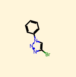 Brc1cn(-c2ccccc2)nn1